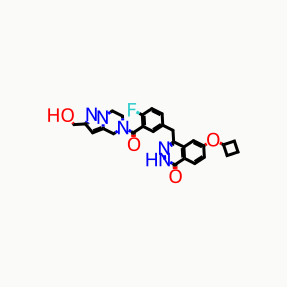 O=C(c1cc(Cc2n[nH]c(=O)c3ccc(OC4CCC4)cc23)ccc1F)N1CCn2nc(CO)cc2C1